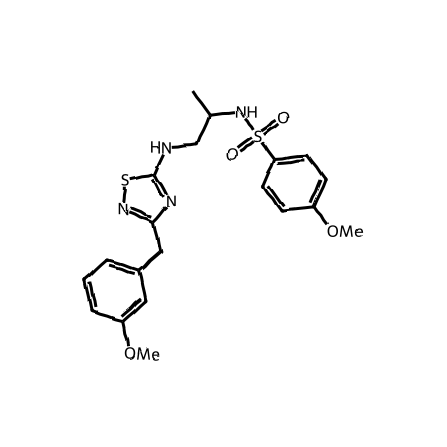 COc1ccc(S(=O)(=O)NC(C)CNc2nc(Cc3cccc(OC)c3)ns2)cc1